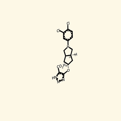 O=C(O)c1[nH]nnc1O[C@@H]1CC2CN(c3ccc(Cl)c(Cl)c3)C[C@H]2C1